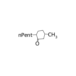 CCCCCC1CCC(C)CC1=O